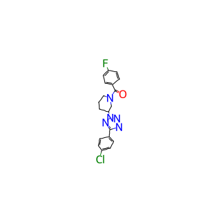 O=C(c1ccc(F)cc1)N1CCCC(n2nnc(-c3ccc(Cl)cc3)n2)C1